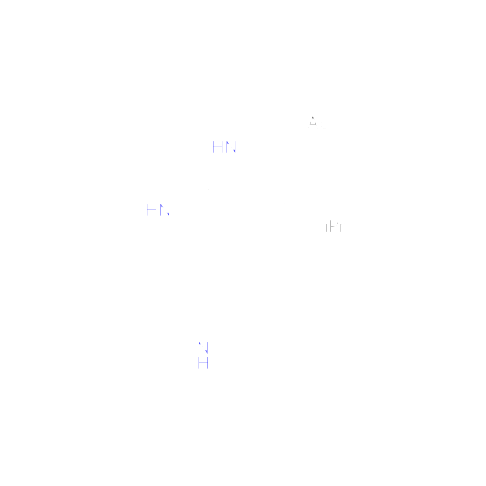 CC(=O)C1NC2NC3CCNCC3C2C1C(C)C